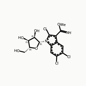 COC(=N)c1c(Cl)n([C@@H]2O[C@H](CO)[C@@H](O)[C@H]2O)c2cc(Cl)c(Cl)cc12